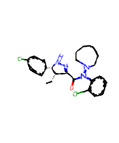 CC[C@H]1C(C(=O)N(c2ccccc2Cl)N2CCCCCC2)=NN[C@H]1c1ccc(Cl)cc1